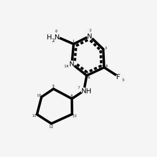 Nc1ncc(F)c(NC2CCCCC2)n1